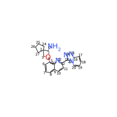 NCC1(COc2cccc3ccc(-c4nnc5ccccn45)nc23)CCCC1